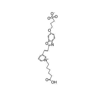 O=C(O)CCCCC[n+]1cccc(C=Cc2nc3ccc(OCCCS(=O)(=O)[O-])cc3o2)c1